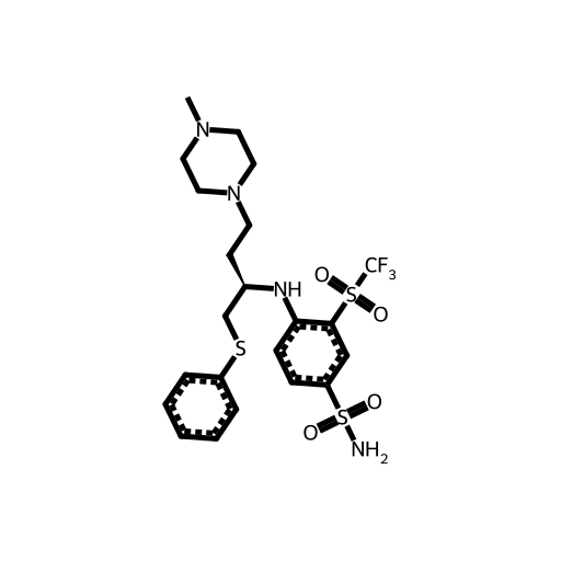 CN1CCN(CC[C@H](CSc2ccccc2)Nc2ccc(S(N)(=O)=O)cc2S(=O)(=O)C(F)(F)F)CC1